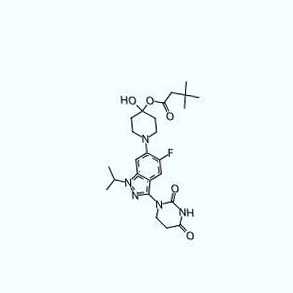 CC(C)n1nc(N2CCC(=O)NC2=O)c2cc(F)c(N3CCC(O)(OC(=O)CC(C)(C)C)CC3)cc21